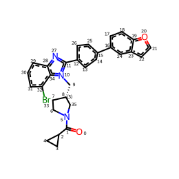 O=C(C1CC1)N1CC[C@H](Cn2c(-c3ccc(-c4ccc5occc5c4)cc3)nc3cccc(Br)c32)C1